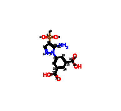 CS(=O)(=O)c1cnn(-c2cc(C(=O)O)cc(C(=O)O)c2)c1N